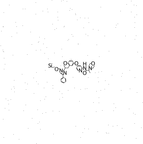 CC(C(=O)Nc1cc(Oc2ccc3c(c2)CC(c2nc(-c4ccccc4)cn2COCC[Si](C)(C)C)CO3)ccn1)N1CCOCC1